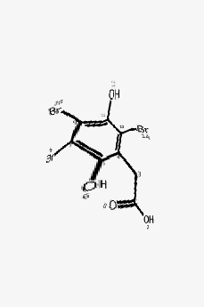 O=C(O)Cc1c(O)c(Br)c(Br)c(O)c1Br